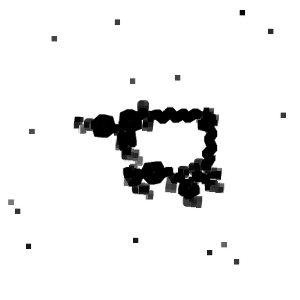 Cc1ncsc1-c1ccc(CNC(=O)[C@@H]2C[C@@H](O)CN2C(=O)C(NC(=O)CCCCCc2cn(CCCCCCCNC(=O)c3ccc4c(c3)c3cn(C)nc3n4-c3ccc(C(F)(F)F)cc3)nn2)C(C)(C)C)cc1